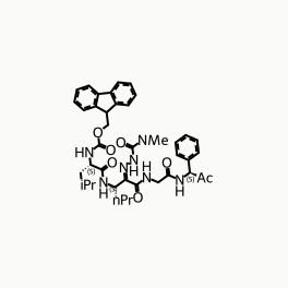 CCC[C@H](NC(=O)[C@H](CC(C)C)NC(=O)OCC1c2ccccc2-c2ccccc21)C(=NNC(=O)NC)C(=O)NCC(=O)N[C@H](C(C)=O)c1ccccc1